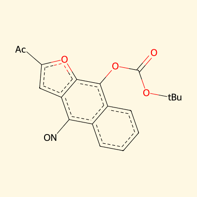 CC(=O)c1cc2c(N=O)c3ccccc3c(OC(=O)OC(C)(C)C)c2o1